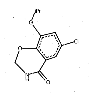 CC(C)Oc1cc(Cl)cc2c1OCNC2=O